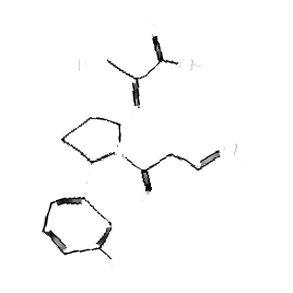 C=CCC(=O)N1[C@@H](/C=C(\C)C(=O)O)CC[C@H]1c1cccc(Cl)c1